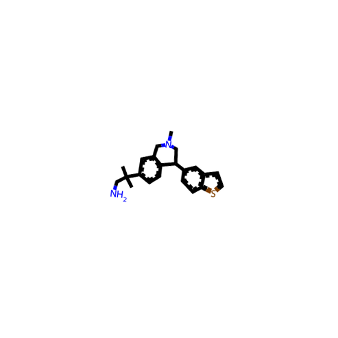 CN1Cc2cc(C(C)(C)CN)ccc2C(c2ccc3sccc3c2)C1